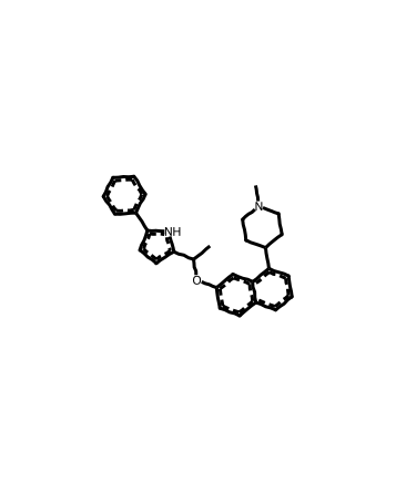 CC(Oc1ccc2cccc(C3CCN(C)CC3)c2c1)c1ccc(-c2ccccc2)[nH]1